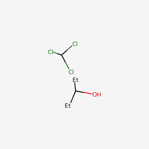 CCC(O)CC.ClC(Cl)Cl